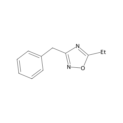 [CH2]Cc1nc(Cc2ccccc2)no1